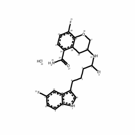 CCC(CCCc1c[nH]c2ccc(F)cc12)NC1COc2c(F)ccc(C(N)=O)c2C1.Cl